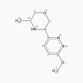 COc1ccc(C2COCC(C)N2)nn1